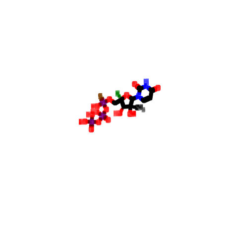 C[C@]1(O)C(n2ccc(=O)[nH]c2=O)O[C@](F)(COP(O)(=S)OP(=O)(O)OP(=O)(O)O)[C@H]1O